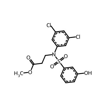 COC(=O)CCN(c1cc(Cl)cc(Cl)c1)S(=O)(=O)c1cccc(O)c1